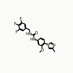 COc1cc(NC(=O)NCc2cc(F)c(F)c(F)c2)ccc1-n1cnc(C)c1